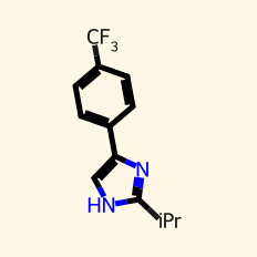 CC(C)c1nc(-c2ccc(C(F)(F)F)cc2)c[nH]1